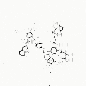 COc1cc2c(cc1OC)C[N+](CCc1ccc(NC(=O)c3cc(OC)c(OC)cc3NC(=O)c3cnc4ccccc4c3)cc1)(Cc1ccc(OC3O[C@H](C(=O)O)[C@@H](O)[C@H](O)[C@H]3O)c(NC(=O)CCNC(=O)C(CN)N3C(=O)C=CC3=O)c1)CC2